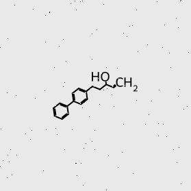 C=CC(O)CCc1ccc(-c2ccccc2)cc1